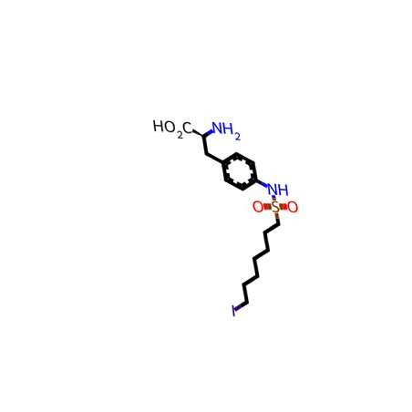 N[C@@H](Cc1ccc(NS(=O)(=O)CCCCCCCI)cc1)C(=O)O